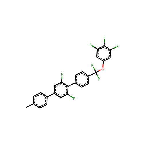 Cc1ccc(-c2cc(F)c(-c3ccc(C(F)(F)Oc4cc(F)c(F)c(F)c4)cc3)c(F)c2)cc1